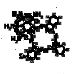 NS(=O)(=O)c1c(S(N)(=O)=O)c(S(N)(=O)=O)c2c3nc4nc(nc5[nH]c(nc6nc(nc([nH]3)c2c1S(N)(=O)=O)-c1ccccc1-6)c1ccccc51)-c1ccccc1-4.[Co]